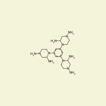 NC1CN(N)CCN1c1[c]c(N2CCN(N)CC2N)cc(N2CCN(N)CC2N)c1